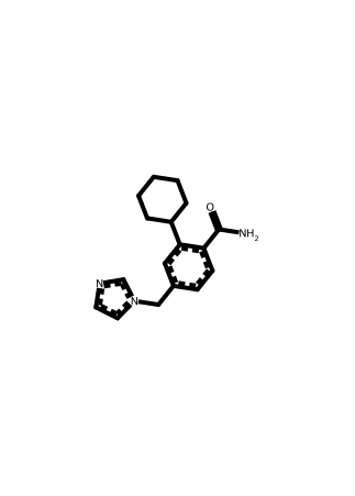 NC(=O)c1ccc(Cn2ccnc2)cc1C1CCCCC1